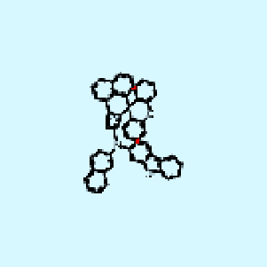 c1ccc2c(c1)Oc1ccccc1C21c2cc(N(c3ccc4ccccc4c3)c3ccc4c(c3)oc3ccccc34)ccc2-c2cccc3cccc1c23